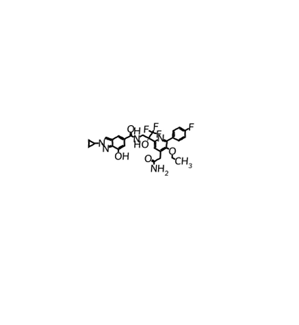 CCOc1c(CC(N)=O)cc([C@@](O)(CNC(=O)c2cc(O)c3nn(C4CC4)cc3c2)C(F)(F)F)nc1-c1ccc(F)cc1